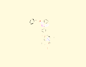 CC(C)(O)CN1CCC(Oc2ccc(C(=O)Nc3ccccc3NC(=O)OCc3ccccc3)cc2)CC1(C)C